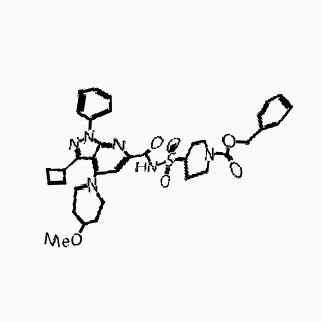 COC1CCN(c2cc(C(=O)NS(=O)(=O)C3CCN(C(=O)OCc4ccccc4)CC3)nc3c2c(C2CCC2)nn3-c2ccccc2)CC1